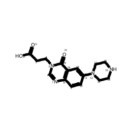 O=C(O)CCn1cnc2ccc(N3CCNCC3)cc2c1=O